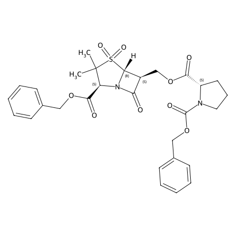 CC1(C)[C@H](C(=O)OCc2ccccc2)N2C(=O)[C@H](COC(=O)[C@@H]3CCCN3C(=O)OCc3ccccc3)[C@H]2S1(=O)=O